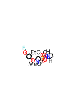 CCOC(=O)[C@H]1[C@@H]2CC[C@H](CN1S(=O)(=O)c1ccc(Oc3ccc(OCF)cc3)nc1)N2C(=O)OCCOC